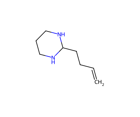 C=CCCC1NCCCN1